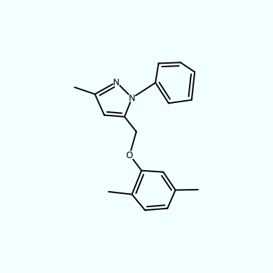 Cc1ccc(C)c(OCc2cc(C)nn2-c2ccccc2)c1